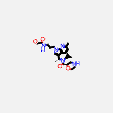 Cc1ccc2c([C@@H](C)N(C(=O)[C@H]3CNCCO3)C3CC3)cn(CCCNC(=O)C=O)c2n1